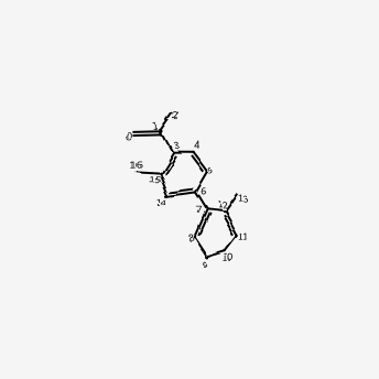 C=C(C)c1ccc(C2=CCCC=C2C)cc1C